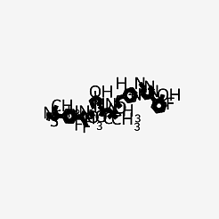 Cc1ncsc1-c1ccc(C(NC(=O)[C@@H]2C[C@@H](O)CN2C(=O)[C@@H](NC(=O)CC2CCN(c3cc(-c4cccc(F)c4O)nnc3N)CC2)C(C)(C)C)C(F)(F)F)cc1